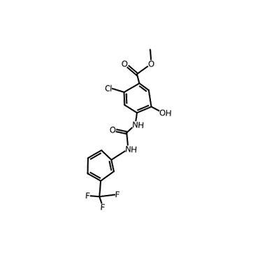 COC(=O)c1cc(O)c(NC(=O)Nc2cccc(C(F)(F)F)c2)cc1Cl